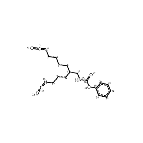 O=C=NCCCCC(CCCN=C=O)CNC(=O)Oc1ccccc1